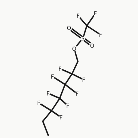 CCC(F)(F)C(F)(F)C(F)(F)C(F)(F)COS(=O)(=O)C(F)(F)F